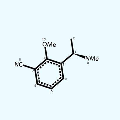 CN[C@H](C)c1cccc(C#N)c1OC